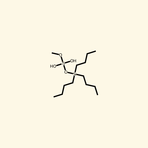 CCCC[Si](CCCC)(CCCC)[O][Ti]([OH])([OH])[O]C